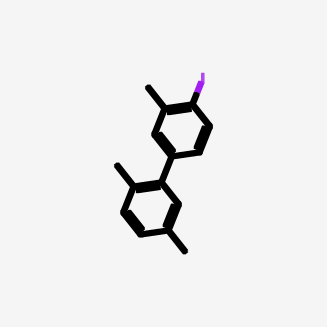 Cc1ccc(C)c(-c2ccc(I)c(C)c2)c1